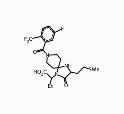 CCC(C(=O)O)N1C(=O)C(CCSC)NC12CCN(C(=O)c1cc(F)ccc1C(F)(F)F)CC2